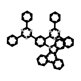 c1ccc(-c2nc(-c3ccccc3)nc(-c3ccc(-n4c5ccccc5c5c6ccccc6c6ccccc6c54)c(-c4nc(-c5ccccc5)nc(-c5ccccc5)n4)c3)n2)cc1